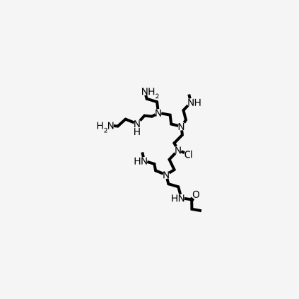 CCC(=O)NCCN(CCNC)CCN(Cl)CCN(CCNC)CCN(CCN)CCNCCN